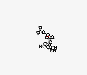 N#CC(C#N)=c1ccc(=C(C#N)C#N)c(Cc2ccc(N(c3ccccc3)c3ccccc3-c3ccc(-c4ccc(N(c5ccccc5)c5ccccc5)cc4)cc3)cc2)c1